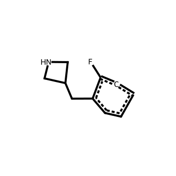 Fc1ccccc1CC1CNC1